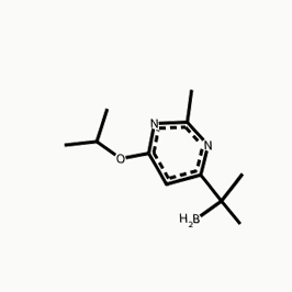 BC(C)(C)c1cc(OC(C)C)nc(C)n1